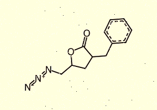 [N-]=[N+]=NCC1CC(Cc2ccccc2)C(=O)O1